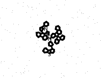 c1ccc(C2(c3ccccc3)c3cc(N(c4ccc(-c5cccc6sc7ccccc7c56)cc4)c4ccc5c(c4)C4(c6ccccc6-5)c5ccccc5-n5c6ccccc6c6cccc4c65)ccc3-c3c2ccc2ccccc32)cc1